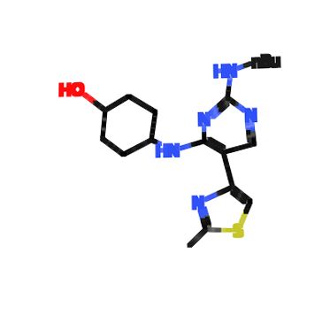 CCCCNc1ncc(-c2csc(C)n2)c(NC2CCC(O)CC2)n1